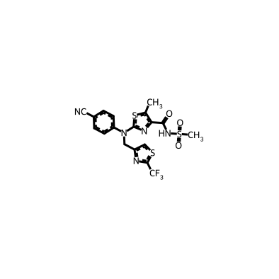 Cc1sc(N(Cc2csc(C(F)(F)F)n2)c2ccc(C#N)cc2)nc1C(=O)NS(C)(=O)=O